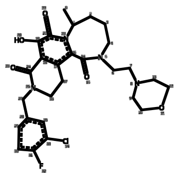 CC1CCCN(CCN2CCOCC2)C(=O)c2c3c(c(O)c(=O)n21)C(=O)N(Cc1ccc(F)c(Cl)c1)CC3